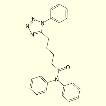 O=C(CCCCc1nnnn1-c1ccccc1)N(c1ccccc1)c1ccccc1